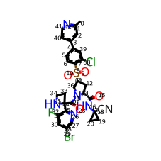 Cc1cc(-c2ccc(S(=O)(=O)[C@@H]3C[C@@H](C(=O)NC4(C#N)CC4)N(C(=O)C4(c5ncc(Br)cc5F)CCN4)C3)c(Cl)c2)ccn1